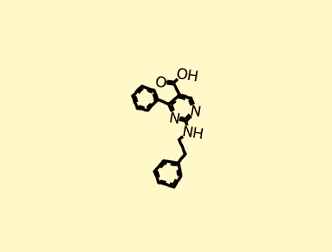 O=C(O)c1cnc(NCCc2ccccc2)nc1-c1ccccc1